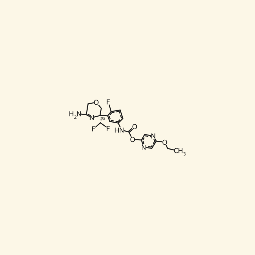 CCOc1cnc(OC(=O)Nc2ccc(F)c([C@]3(C(F)F)COCC(N)=N3)c2)cn1